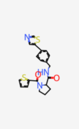 O=C(NCc1ccc(-c2cncs2)cc1)C1CCCN1C(=O)c1cccs1